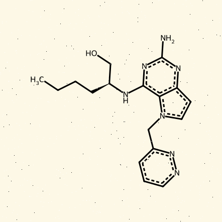 CCCC[C@@H](CO)Nc1nc(N)nc2ccn(Cc3cccnn3)c12